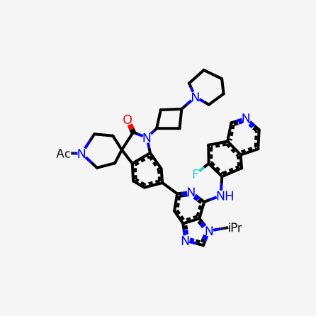 CC(=O)N1CCC2(CC1)C(=O)N(C1CC(N3CCCCC3)C1)c1cc(-c3cc4ncn(C(C)C)c4c(Nc4cc5ccncc5cc4F)n3)ccc12